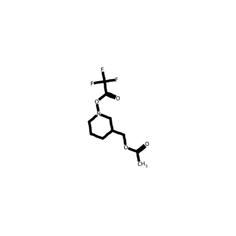 CC(=O)OCC1CCCN(OC(=O)C(F)(F)F)C1